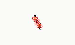 CC1(C)COP(O[C@@H]2COC3C2OC[C@H]3OP2OCC(C)(C)CO2)OC1